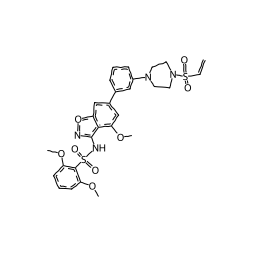 C=CS(=O)(=O)N1CCN(c2cccc(-c3cc(OC)c4c(NS(=O)(=O)c5c(OC)cccc5OC)noc4c3)c2)CC1